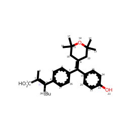 C/C(C(=O)O)=C(\c1ccc(C(=C2CC(C)(C)OC(C)(C)C2)c2ccc(O)cc2)cc1)C(C)(C)C